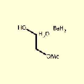 COCCO.O.[BaH2]